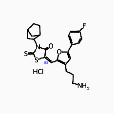 Cl.NCCCc1cc(-c2ccc(F)cc2)oc1/C=C1/SC(=S)N(C2CC3CCC2C3)C1=O